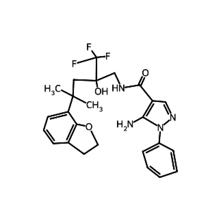 CC(C)(CC(O)(CNC(=O)c1cnn(-c2ccccc2)c1N)C(F)(F)F)c1cccc2c1OCC2